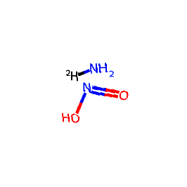 O=NO.[2H]N